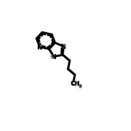 CCCCC1=Nc2cccnc2[N]1